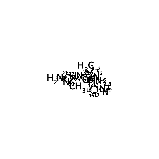 Cc1ccn(NCc2ccnn2-c2ccccc2)c(=O)c1CC(=O)NCc1ccc(N)nc1C